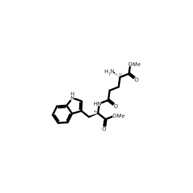 COC(=O)[C@@H](N)CCC(=O)N[C@H](Cc1c[nH]c2ccccc12)C(=O)OC